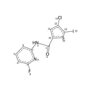 O=C(Nc1cccc(F)n1)c1cc(Cl)c(I)s1